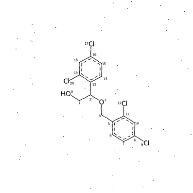 OCC(OCc1ccc(Cl)cc1Cl)c1ccc(Cl)cc1Cl